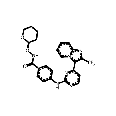 O=C(NOC1CCCCO1)c1ccc(Nc2nccc(-c3c(C(F)(F)F)nc4ccccn34)n2)cc1